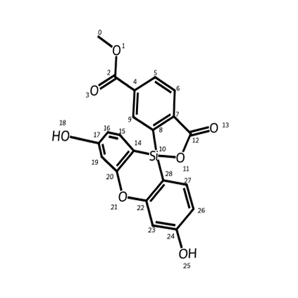 COC(=O)c1ccc2c(c1)[Si]1(OC2=O)c2ccc(O)cc2Oc2cc(O)ccc21